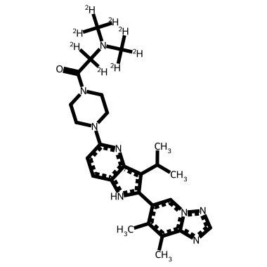 [2H]C([2H])([2H])N(C([2H])([2H])[2H])C([2H])([2H])C(=O)N1CCN(c2ccc3[nH]c(-c4cn5ncnc5c(C)c4C)c(C(C)C)c3n2)CC1